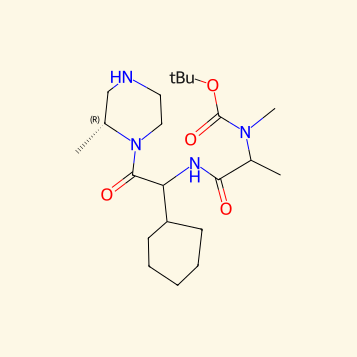 CC(C(=O)NC(C(=O)N1CCNC[C@H]1C)C1CCCCC1)N(C)C(=O)OC(C)(C)C